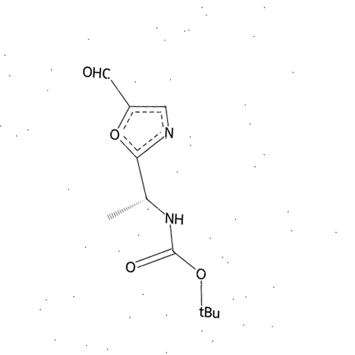 C[C@@H](NC(=O)OC(C)(C)C)c1ncc(C=O)o1